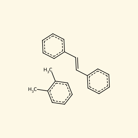 C(=Cc1ccccc1)c1ccccc1.Cc1ccccc1C